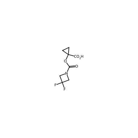 O=C(OC1(C(=O)O)CC1)N1CC(F)(F)C1